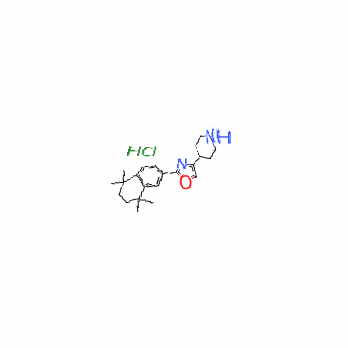 CC1(C)CCC(C)(C)c2cc(-c3nc(C4CCNCC4)co3)ccc21.Cl